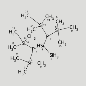 C[Si](C)(C)P([SiH]([SiH3])P([Si](C)(C)C)[Si](C)(C)C)[Si](C)(C)C